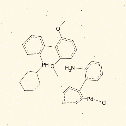 COc1cccc(OC)c1-c1ccccc1PC1CCCCC1.Nc1ccccc1-c1cccc[c]1[Pd][Cl]